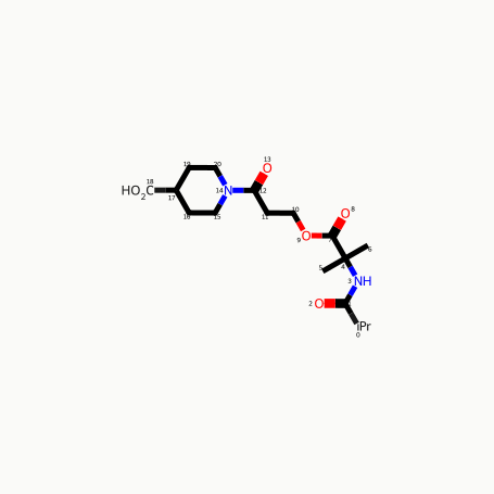 CC(C)C(=O)NC(C)(C)C(=O)OCCC(=O)N1CCC(C(=O)O)CC1